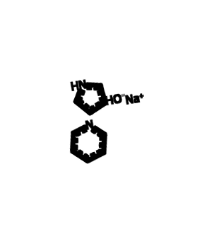 [Na+].[OH-].c1cc[nH]c1.c1ccncc1